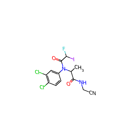 CC(C(=O)NCC#N)N(C(=O)C(F)I)c1ccc(Cl)c(Cl)c1